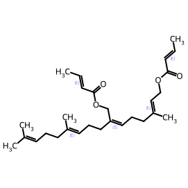 C/C=C/C(=O)OC/C=C(\C)CC/C=C(/CC/C=C(\C)CCC=C(C)C)COC(=O)/C=C/C